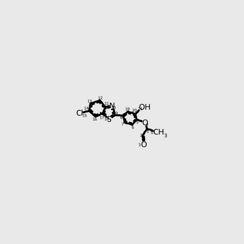 CC(C=O)Oc1ccc(-c2nc3ccc(Cl)cc3s2)cc1O